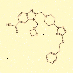 O=C(O)c1ccc2nc(CN3CCC(n4ccc(OCCc5ccccc5)n4)CC3)n(C[C@@H]3CCO3)c2c1